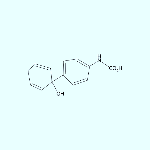 O=C(O)Nc1ccc(C2(O)C=CCC=C2)cc1